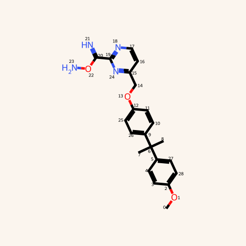 COc1ccc(C(C)(C)c2ccc(OCc3ccnc(C(=N)ON)n3)cc2)cc1